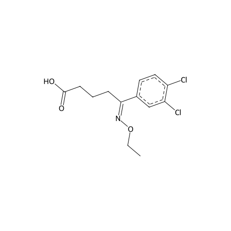 CCO/N=C(/CCCC(=O)O)c1ccc(Cl)c(Cl)c1